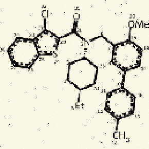 CC[C@H]1CC[C@H](N(Cc2cc(-c3ccc(C)cc3)ccc2OC)C(=O)c2sc3ccccc3c2Cl)CC1